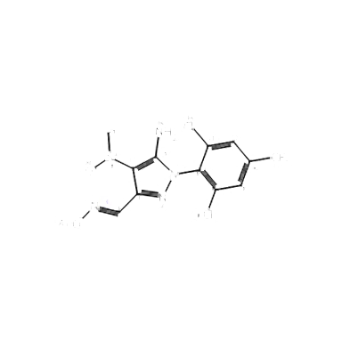 CC(=O)O/N=C/c1nn(-c2c(Cl)cc(C(F)(F)F)cc2Cl)c(N)c1[S+](C)[O-]